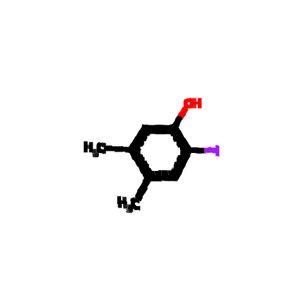 Cc1cc(O)c(I)cc1C